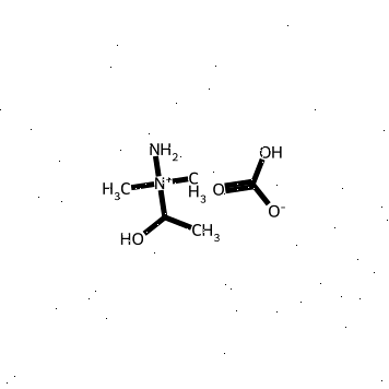 CC(O)[N+](C)(C)N.O=C([O-])O